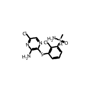 C[SH](N)(=O)c1cccc(Sc2ncc(Cl)nc2N)c1Cl